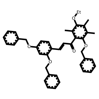 CCOc1c(C)c(C)c(OCc2ccccc2)c(C(=O)C=Cc2ccc(OCc3ccccc3)cc2OCc2ccccc2)c1C